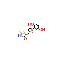 O=C1NC(=S)S/C1=C\c1ccc(-c2cc(O)ccc2O)o1